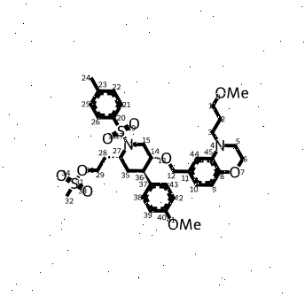 COCCCN1CCOc2ccc(CO[C@H]3CN(S(=O)(=O)c4ccc(C)cc4)[C@@H](CCOS(C)(=O)=O)C[C@@H]3c3ccc(OC)cc3)cc21